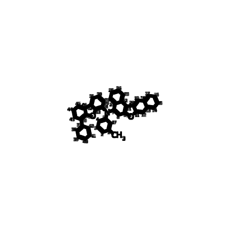 Cc1cccc(N(c2cc3oc4cc5ccccc5cc4c3c3ccccc23)c2cccc3c2oc2c(-c4ccccc4)cccc23)c1